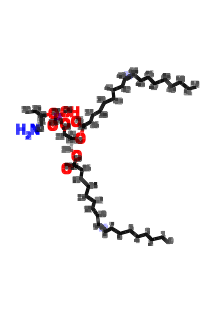 CCCCCCCC/C=C\CCCCCCCC(=O)OC[C@H](COP(=O)(O)OC(CC)CN)OC(=O)CCCCCCC/C=C\CCCCCCCC